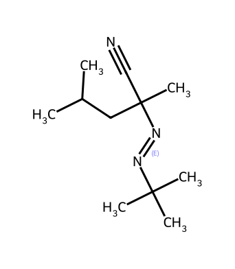 CC(C)CC(C)(C#N)/N=N/C(C)(C)C